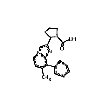 Cc1ccn2cc(C3CCCN3C(=O)O)nc2c1-c1ccccc1